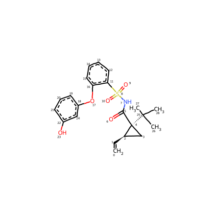 C=C[C@@H]1C[C@@]1(C(=O)NS(=O)(=O)c1ccccc1Oc1cccc(O)c1)C(C)(C)C